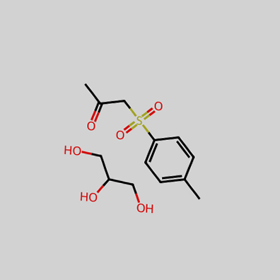 CC(=O)CS(=O)(=O)c1ccc(C)cc1.OCC(O)CO